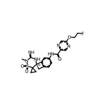 CN1C(=N)N[C@@]2(Cc3ccc(NC(=O)c4cnc(OCCF)cn4)cc32)C2(CC2)S1(=O)=O